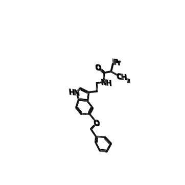 CC(C)C(C)C(=O)NCCc1c[nH]c2ccc(OCc3ccccc3)cc12